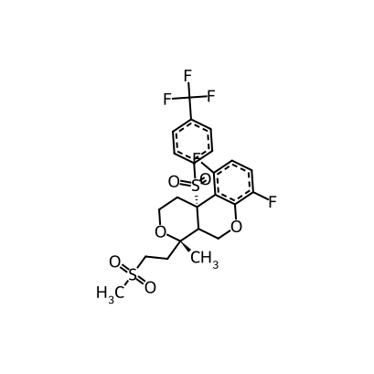 C[C@@]1(CCS(C)(=O)=O)OCC[C@@]2(S(=O)(=O)c3ccc(C(F)(F)F)cc3)c3c(F)ccc(F)c3OCC12